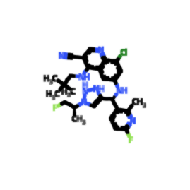 Cc1nc(F)ccc1[C@H](Nc1cc(Cl)c2ncc(C#N)c(NCC(C)(C)C)c2c1)C1=CN([C@@H](C)CF)NN1